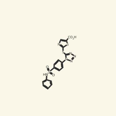 O=C(O)c1cnc(Sc2nnnn2-c2ccc(S(=O)(=O)Nc3ccccc3)cc2)s1